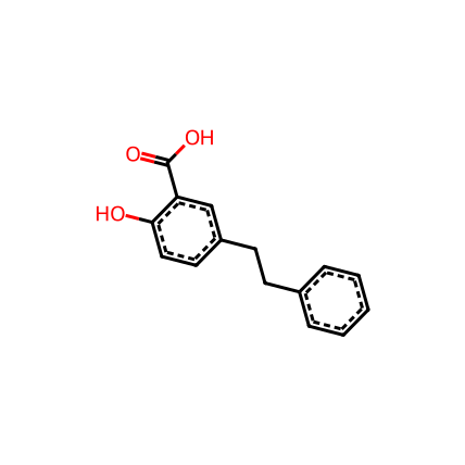 O=C(O)c1cc(CCc2ccccc2)ccc1O